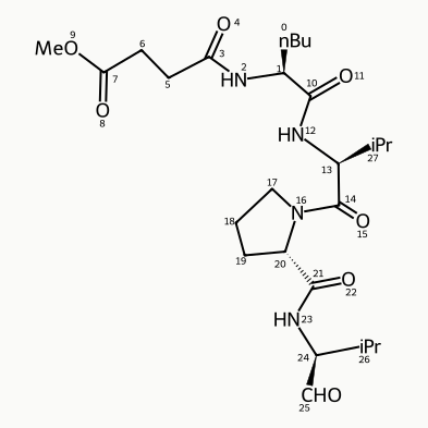 CCCC[C@H](NC(=O)CCC(=O)OC)C(=O)N[C@H](C(=O)N1CCC[C@H]1C(=O)N[C@H](C=O)C(C)C)C(C)C